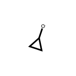 [O]C1CC1